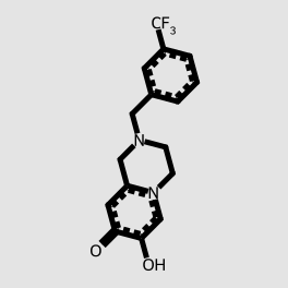 O=c1cc2n(cc1O)CCN(Cc1cccc(C(F)(F)F)c1)C2